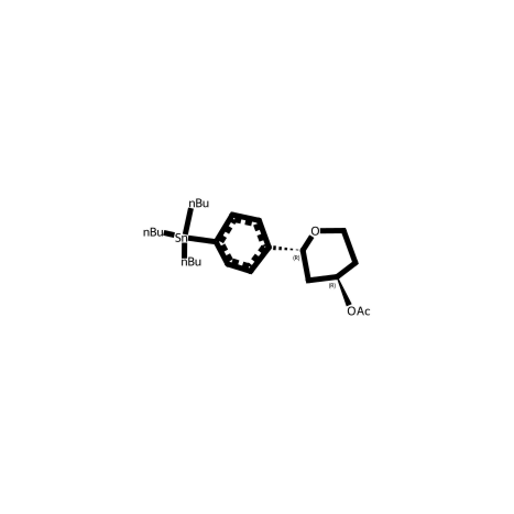 CCC[CH2][Sn]([CH2]CCC)([CH2]CCC)[c]1ccc([C@H]2C[C@H](OC(C)=O)CCO2)cc1